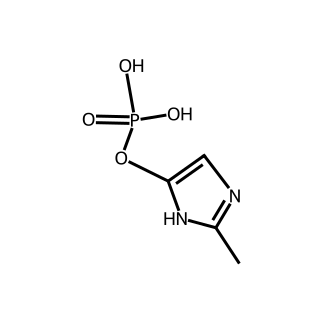 Cc1ncc(OP(=O)(O)O)[nH]1